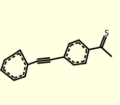 CC(=S)c1ccc(C#Cc2ccccc2)cc1